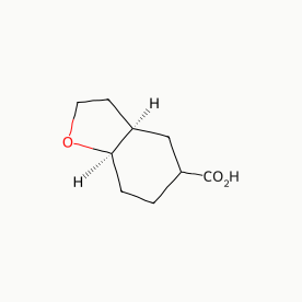 O=C(O)C1CC[C@H]2OCC[C@H]2C1